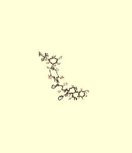 Cc1ccc2ncc3c(=O)n(CCC(=O)N4CCN(c5cccc(C(F)(F)F)c5)CC4)cnc3c2c1